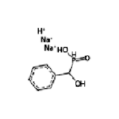 O=[PH](O)C(O)c1ccccc1.[H+].[Na+].[Na+]